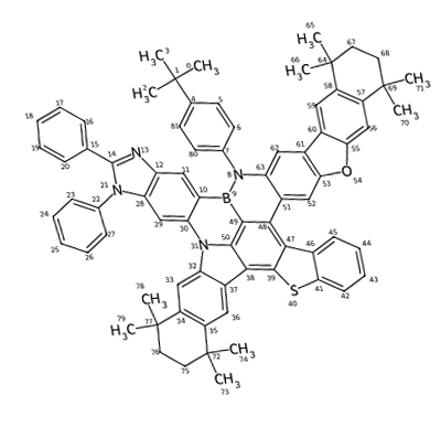 CC(C)(C)c1ccc(N2B3c4cc5nc(-c6ccccc6)n(-c6ccccc6)c5cc4-n4c5cc6c(cc5c5c7sc8ccccc8c7c(c3c54)-c3cc4oc5cc7c(cc5c4cc32)C(C)(C)CCC7(C)C)C(C)(C)CCC6(C)C)cc1